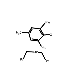 CC(C)[CH2][Al+][CH2]C(C)C.Cc1cc(C(C)(C)C)c([O-])c(C(C)(C)C)c1